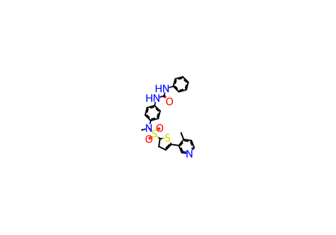 Cc1ccncc1C1=CCC(S(=O)(=O)N(C)c2ccc(NC(=O)Nc3ccccc3)cc2)S1